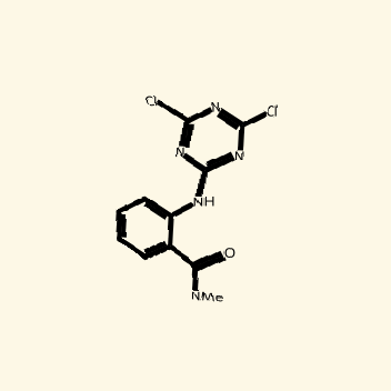 CNC(=O)c1ccccc1Nc1nc(Cl)nc(Cl)n1